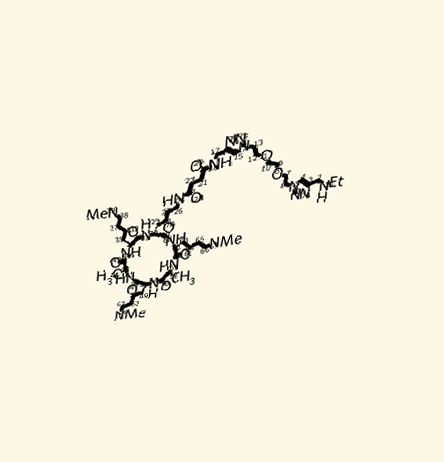 CCNCc1cn(CCOCCOCCn2cc(CNC(=O)CCC(=O)NCCCC[C@H]3NC(=O)[C@H](CCCCNC)NC(=O)[C@@H](C)NC(=O)[C@H](CCCCNC)NC(=O)[C@@H](C)NC(=O)[C@H](CCCCNC)NC3=O)nn2)nn1